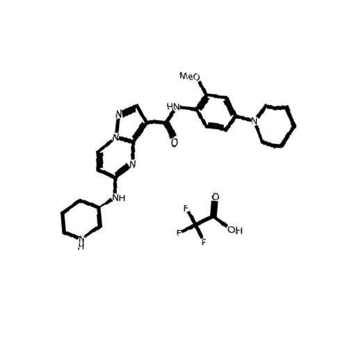 COc1cc(N2CCCCC2)ccc1NC(=O)c1cnn2ccc(N[C@@H]3CCCNC3)nc12.O=C(O)C(F)(F)F